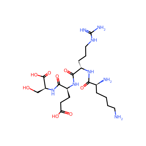 N=C(N)NCCC[C@H](NC(=O)[C@@H](N)CCCCN)C(=O)N[C@@H](CCC(=O)O)C(=O)N[C@@H](CO)C(=O)O